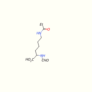 CCC(=O)NCCCCC(NC=O)C(=O)O